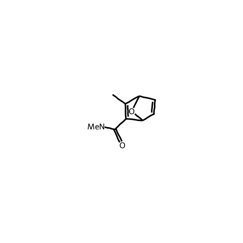 CNC(=O)C1=C(C)C2C=CC1O2